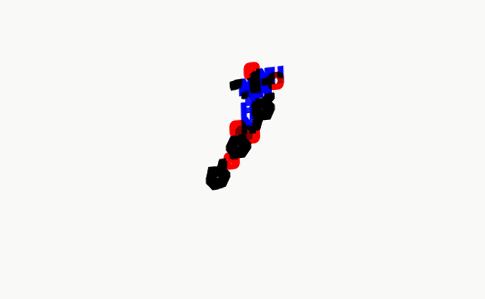 CCn1cnc2c1c(=O)[nH]c(=O)n2Cc1ccc(CNS(=O)(=O)c2ccc(OCc3ccccc3)cc2)cc1